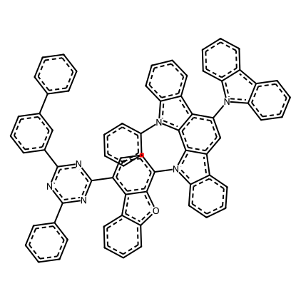 c1ccc(-c2cccc(-c3nc(-c4ccccc4)nc(-c4ccc(-n5c6ccccc6c6cc(-n7c8ccccc8c8ccccc87)c7c8ccccc8n(-c8ccccc8)c7c65)c5oc6ccccc6c45)n3)c2)cc1